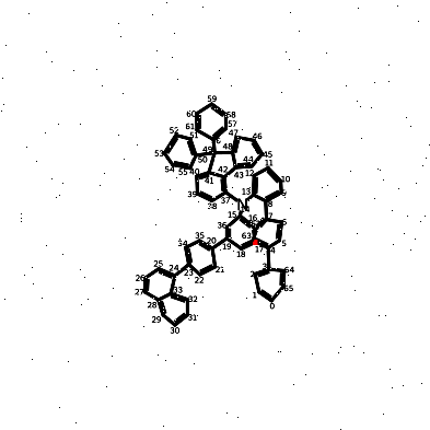 c1ccc(-c2ccc(-c3ccccc3N(c3cccc(-c4ccc(-c5cccc6ccccc56)cc4)c3)c3cccc4c3-c3ccccc3C4(c3ccccc3)c3ccccc3)cc2)cc1